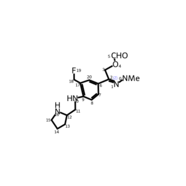 CN/N=C(\COC=O)c1ccc(NCC2CCCN2)c(CF)c1